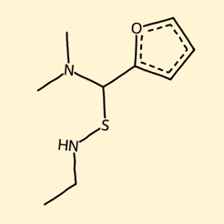 CCNSC(c1ccco1)N(C)C